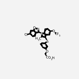 Cc1c(Sc2cccc(OCC(=O)O)c2)c2cc(OC(F)(F)F)ccc2n1-c1noc2cc(Cl)ccc12